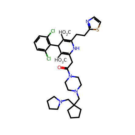 O=C(O)C1=C(CCc2nccs2)NC(CC(=O)N2CCN(CC3(CN4CCCC4)CCCC3)CC2)=C(C(=O)O)C1c1c(Cl)cccc1Cl